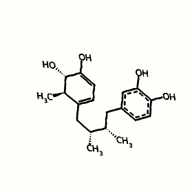 C[C@H](CC1=CC=C(O)[C@@H](O)[C@@H]1C)[C@@H](C)Cc1ccc(O)c(O)c1